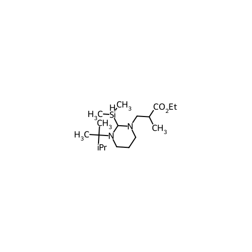 CCOC(=O)C(C)CN1CCCN(C(C)(C)C(C)C)C1[SiH](C)C